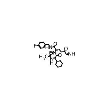 CC(=O)N[C@H](C(=O)N[C@@H](CCC(=O)C=N)C(=O)NCc1ccc(F)cc1)C1CCCCC1